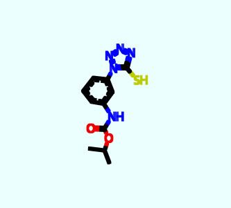 CC(C)OC(=O)Nc1cccc(-n2nnnc2S)c1